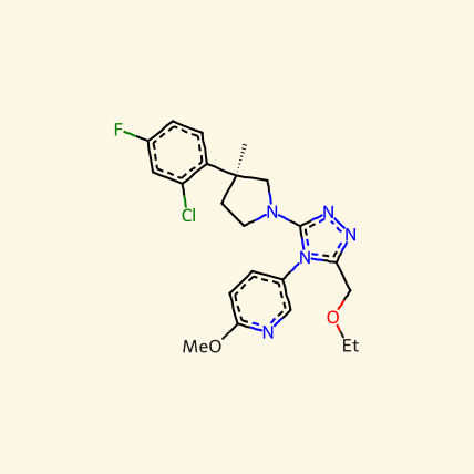 CCOCc1nnc(N2CC[C@@](C)(c3ccc(F)cc3Cl)C2)n1-c1ccc(OC)nc1